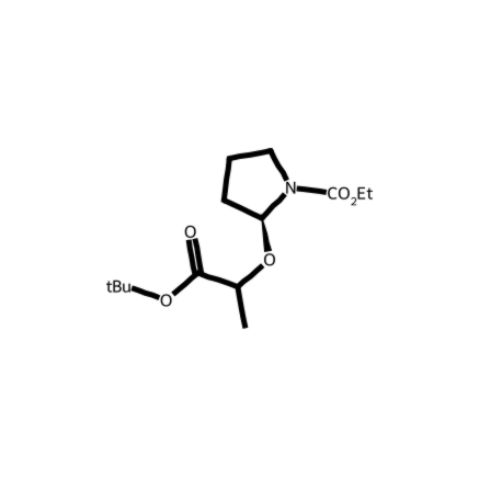 CCOC(=O)N1CCC[C@@H]1OC(C)C(=O)OC(C)(C)C